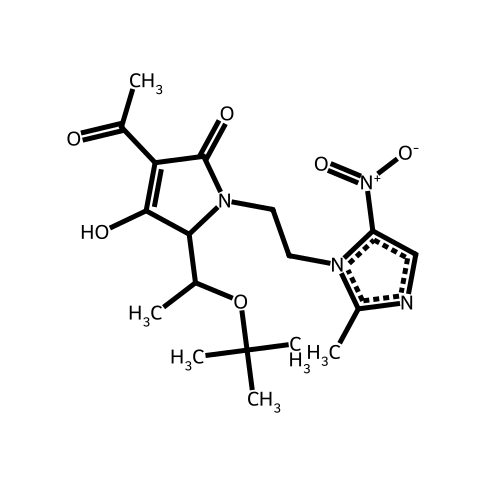 CC(=O)C1=C(O)C(C(C)OC(C)(C)C)N(CCn2c([N+](=O)[O-])cnc2C)C1=O